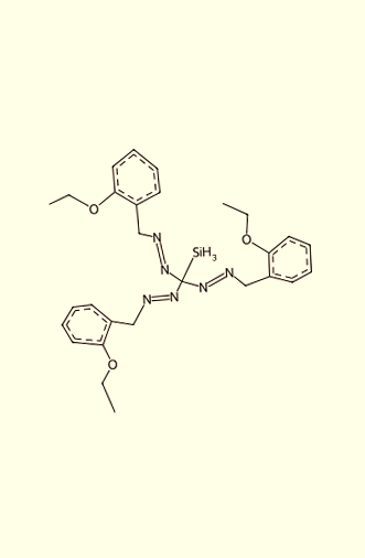 CCOc1ccccc1CN=NC([SiH3])(N=NCc1ccccc1OCC)N=NCc1ccccc1OCC